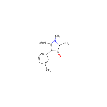 CNC1=C(c2cccc(C(F)(F)F)c2)C(=O)C(C)N1C